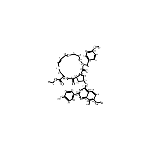 CCOC(=O)C1CCC=CCCCCCN(Cc2ccc(OC)cc2)C(=O)[N+]2CC(Oc3nc(-c4ccc(F)cc4)nc4c(C)c(OC)ccc34)CC2C(=O)N1